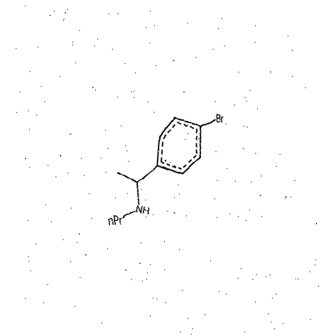 CCCNC(C)c1ccc(Br)cc1